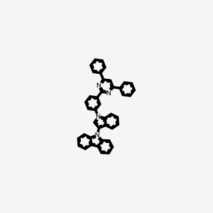 c1ccc(-c2cc(-c3ccccc3)nc(-c3cccc(-n4cc(-n5c6ccccc6c6ccccc65)c5ccccc54)c3)n2)cc1